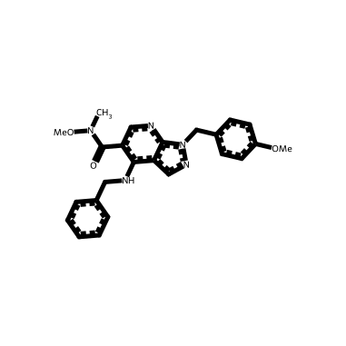 COc1ccc(Cn2ncc3c(NCc4ccccc4)c(C(=O)N(C)OC)cnc32)cc1